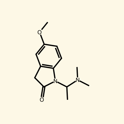 COc1ccc2c(c1)CC(=O)N2C(C)N(C)C